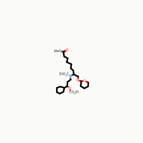 CCOC(=O)OC(CCN(C(=O)OCC)C(CCCCCCC(=O)OC)COC1CCCCO1)C1CCCCC1